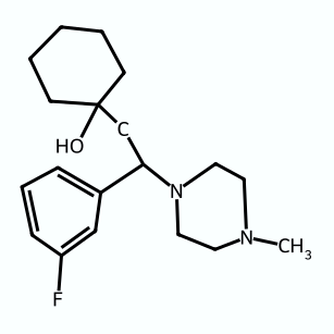 CN1CCN(C(CC2(O)CCCCC2)c2cccc(F)c2)CC1